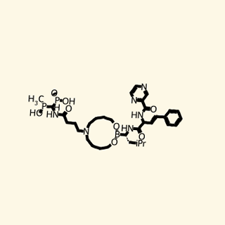 CC(C)C[C@@H](NC(=O)C(/C=C/c1ccccc1)NC(=O)c1cnccn1)B1OCCCCN(CCCC(=O)NC(P(C)O)[PH](=O)O)CCCCO1